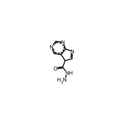 NNC(=O)C1C=Nc2ncncc21